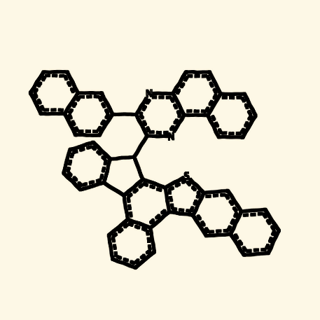 c1ccc2c(c1)-c1c(c3sc4cc5ccccc5cc4c3c3ccccc13)C2c1nc2c(ccc3ccccc32)nc1-c1ccc2ccccc2c1